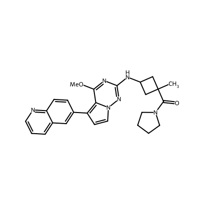 COc1nc(NC2CC(C)(C(=O)N3CCCC3)C2)nn2ccc(-c3ccc4ncccc4c3)c12